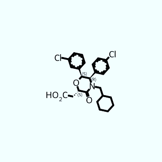 O=C(O)C[C@@H]1O[C@@H](c2cccc(Cl)c2)[C@@H](c2ccc(Cl)cc2)N(CC2CCCCC2)C1=O